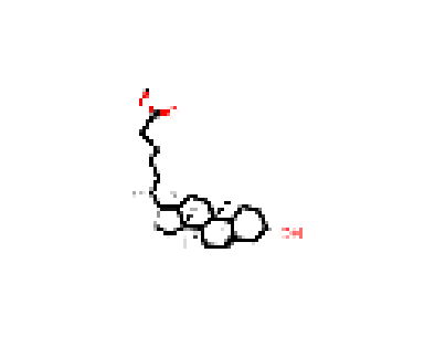 COC(=O)CCCC[C@@H](C)[C@H]1CC[C@H]2[C@@H]3CC=C4C[C@@H](O)CC[C@]4(C)[C@H]3CC[C@]12C